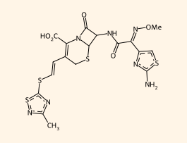 CON=C(C(=O)NC1C(=O)N2C(C(=O)O)=C(C=CSc3nc(C)ns3)CSC12)c1csc(N)n1